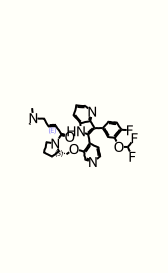 CN(C)C/C=C/C(=O)N1CCC[C@H]1COc1cnccc1-c1[nH]c2cccnc2c1-c1ccc(F)c(OC(F)F)c1